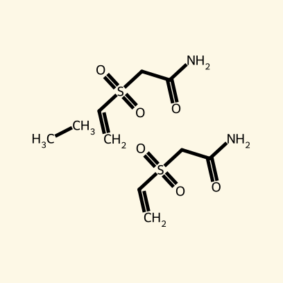 C=CS(=O)(=O)CC(N)=O.C=CS(=O)(=O)CC(N)=O.CC